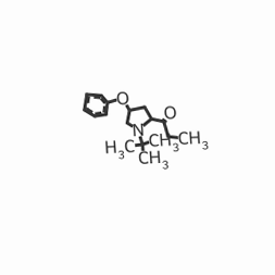 CCC(=O)C1CC(Oc2ccccc2)CN1C(C)(C)C